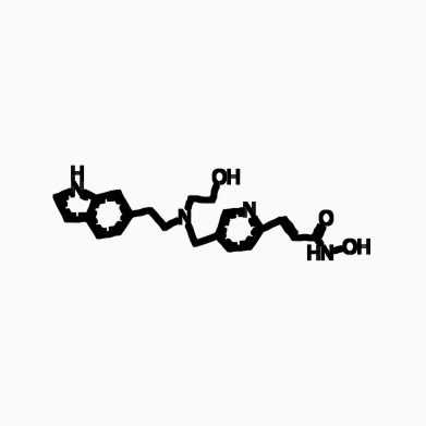 O=C(/C=C/c1ccc(CN(CCO)CCc2ccc3cc[nH]c3c2)cn1)NO